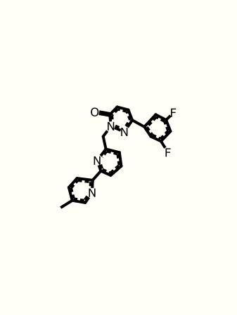 Cc1ccc(-c2cccc(Cn3nc(-c4cc(F)cc(F)c4)ccc3=O)n2)nc1